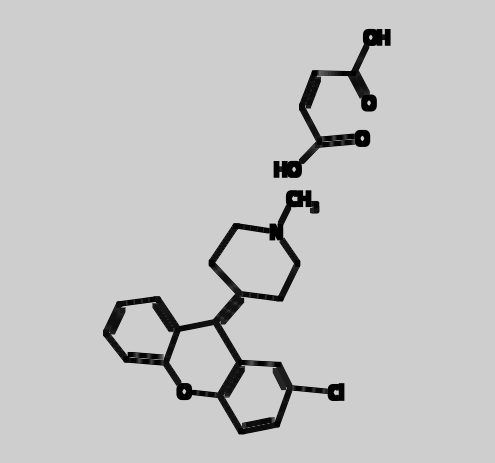 CN1CCC(=C2c3ccccc3Oc3ccc(Cl)cc32)CC1.O=C(O)/C=C\C(=O)O